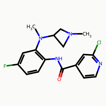 CN1CC(N(C)c2cc(F)ccc2NC(=O)c2ccnc(Cl)c2)C1